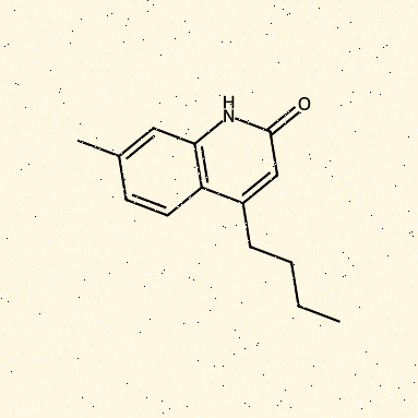 CCCCc1cc(=O)[nH]c2cc(C)ccc12